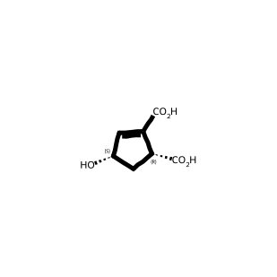 O=C(O)C1=C[C@@H](O)C[C@H]1C(=O)O